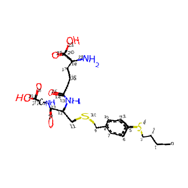 CCCCSc1ccc(CSCC(NC(=O)CCC(N)C(=O)O)C(=O)NCC(=O)O)cc1